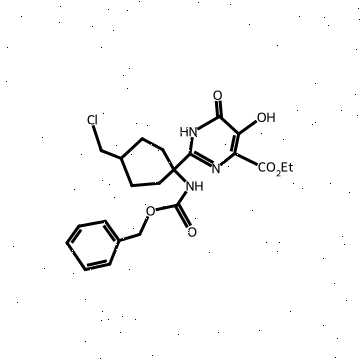 CCOC(=O)c1nc(C2(NC(=O)OCc3ccccc3)CCC(CCl)CC2)[nH]c(=O)c1O